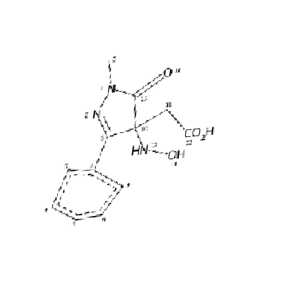 CN1N=C(c2ccccc2)C(CC(=O)O)(NO)C1=O